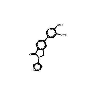 COc1cc(-c2ccc3c(c2)CN(c2cn[nH]c2)C3=O)cnc1OC